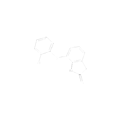 O=C1Cc2cccc(Sc3ccccc3Cl)c2N1